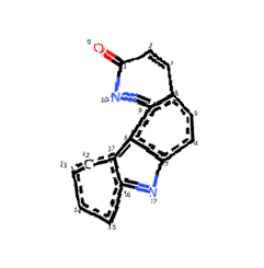 O=C1C=Cc2ccc3c(c2=N1)=c1ccccc1=N3